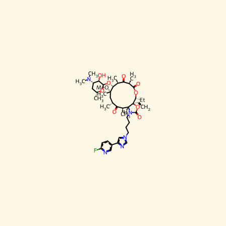 C=C[C@]12OC(=O)N(CCCCn3cnc(-c4ccc(F)nc4)c3)[C@@H]1[C@@H](C)C(=O)[C@H](C)C[C@](C)(OC)[C@H](OC1O[C@H](C)C[C@H](N(C)C)[C@H]1O)[C@@H](C)C(=O)[C@@H](C)C(=O)O[C@@H]2CC